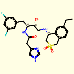 CCc1ccc2c(c1)[C@@H](NC[C@@H](O)[C@H](Cc1cc(F)cc(F)c1)NC(=O)Cc1c[nH]cn1)CS(=O)(=O)C2